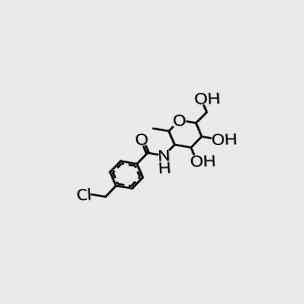 CC1OC(CO)C(O)C(O)C1NC(=O)c1ccc(CCl)cc1